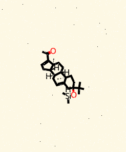 CC(=O)C1=CC[C@H]2[C@@H]3CC=C4CC(O[SiH](C)C)(C(C)(C)C)CC[C@]4(C)[C@H]3CC[C@]12C